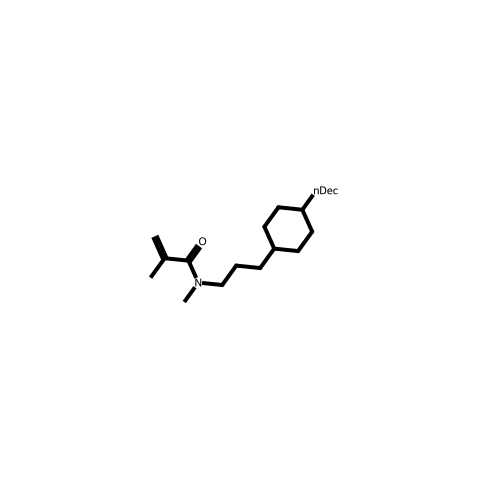 C=C(C)C(=O)N(C)CCCC1CCC(CCCCCCCCCC)CC1